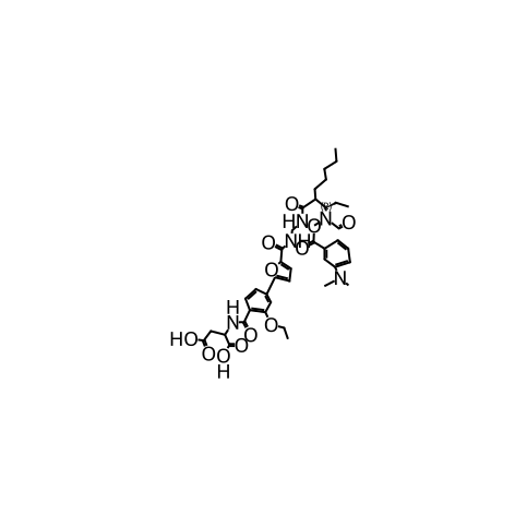 CCCCCC(C(=O)NCNC(=O)c1ccc(-c2ccc(C(=O)NC(CC(=O)O)C(=O)O)c(OCC)c2)o1)[C@@H](CC)N(C=O)OC(=O)c1cccc(N(C)C)c1